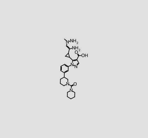 CN(N)/C=C(\N)C1CC1c1c(C(=O)O)cnn1-c1cccc(C2CCCN(C(=O)N3CCCCC3)C2)c1